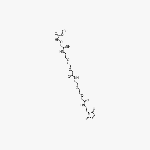 CC(C)(C)OC(=O)NOCC(=N)NCCOCCOCC(=O)NCCOCCOCC(=O)NCCN1C(=O)C=CC1=O